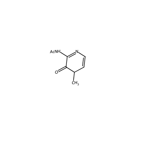 CC(=O)NC1=NC=CC(C)C1=O